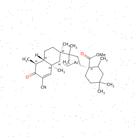 COC(=O)[C@]1(CCC(C)(C)[C@]2(C)CC[C@H]3[C@H](C)C(=O)C(C#N)=C[C@]3(C)[C@H]2CC(C)=O)CCC(C)(C)CC1C